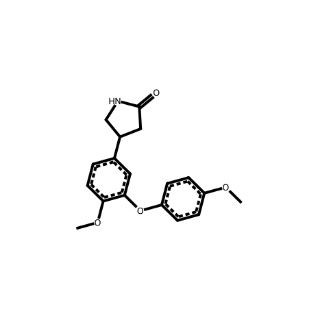 COc1ccc(Oc2cc(C3CNC(=O)C3)ccc2OC)cc1